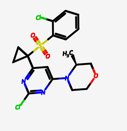 C[C@H]1COCCN1c1cc(C2(S(=O)(=O)c3ccccc3Cl)CC2)nc(Cl)n1